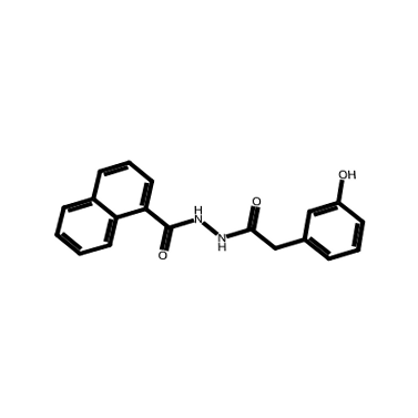 O=C(Cc1cccc(O)c1)NNC(=O)c1cccc2ccccc12